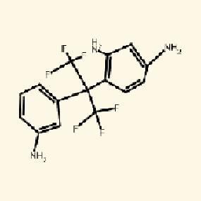 Nc1cccc(C(c2ccc(N)cc2N)(C(F)(F)F)C(F)(F)F)c1